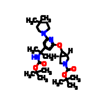 CC1(C)CCN(c2cc(C(C)(C)NC(=O)OC(C)(C)C)cc(OC3[C@H]4CN(C(=O)OC(C)(C)C)C[C@@H]34)n2)CC1